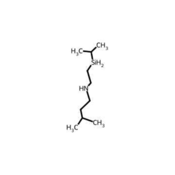 CC(C)CCNCC[SiH2]C(C)C